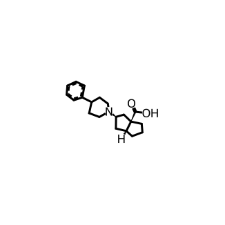 O=C(O)[C@@]12CCC[C@@H]1C[C@@H](N1CCC(c3ccccc3)CC1)C2